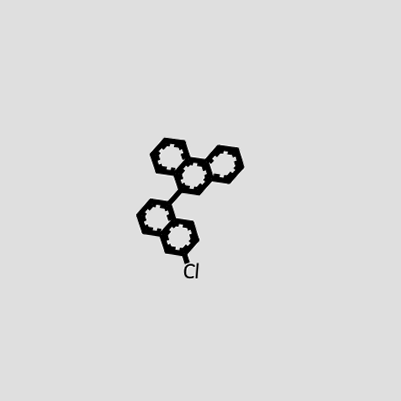 Clc1ccc2c(-c3cc4ccccc4c4ccccc34)cccc2c1